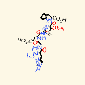 C[C@@H](O)[C@H](NC(=O)CNC(=O)[C@H](CCC(=O)O)NC(=O)CNC(=O)[C@@H](N)Cc1c[nH]cn1)C(=O)N[C@@H](Cc1ccccc1)C(=O)O